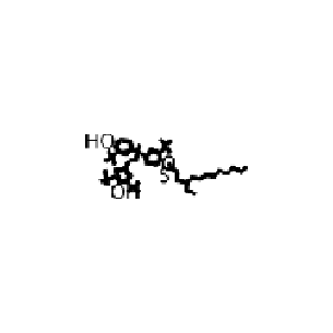 CCCCCCCCCC(CC)CCC(=S)Oc1ccc(C(C)(CCc2cc(C(C)(C)C)c(O)c(C(C)(C)C)c2)c2ccc(O)c(C(C)(C)C)c2)cc1C(C)(C)C